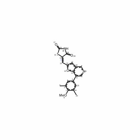 COc1c(C)cc(-c2cncc3cc(/C=C4/SC(=O)NC4=O)oc23)cc1C